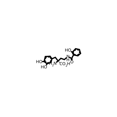 N[C@](CCNC(=O)c1ccccc1O)(Cc1ccc(O)c(O)c1)C(=O)O